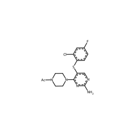 CC(=O)N1CCN(c2nc(N)ncc2Sc2ccc(F)cc2Cl)CC1